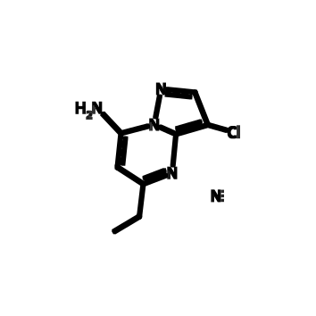 CCc1cc(N)n2ncc(Cl)c2n1.[N]